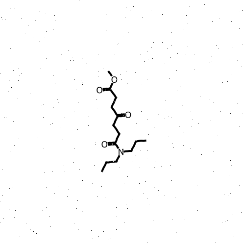 CCCN(CCC)C(=O)CCC(=O)CCC(=O)OC